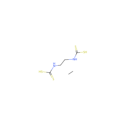 CC.S=C(S)NCCNC(=S)S